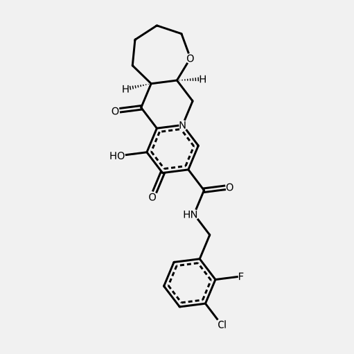 O=C(NCc1cccc(Cl)c1F)c1cn2c(c(O)c1=O)C(=O)[C@H]1CCCCO[C@H]1C2